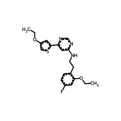 CCOc1csc(-c2cc(NCCc3ccc(F)cc3OCC)ncn2)c1